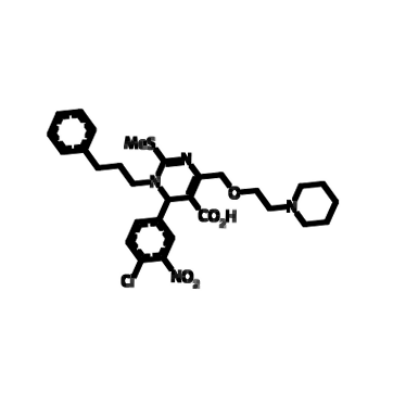 CSC1=NC(COCCN2CCCCC2)=C(C(=O)O)C(c2ccc(Cl)c([N+](=O)[O-])c2)N1CCCc1ccccc1